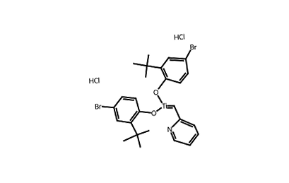 CC(C)(C)c1cc(Br)ccc1[O][Ti](=[CH]c1ccccn1)[O]c1ccc(Br)cc1C(C)(C)C.Cl.Cl